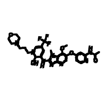 COc1c(Oc2ccnc(NC(C)=O)c2)cnc2nc(NC3=CC(C(F)(F)F)=CN(CCCN4CCOCC4)C3O)n(C)c12